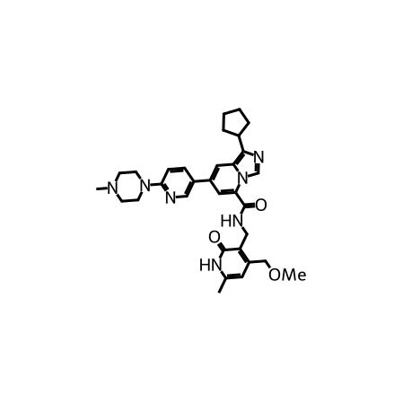 COCc1cc(C)[nH]c(=O)c1CNC(=O)c1cc(-c2ccc(N3CCN(C)CC3)nc2)cc2c(C3CCCC3)ncn12